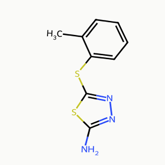 Cc1ccccc1Sc1nnc(N)s1